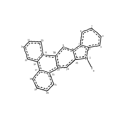 In1c2ccccc2c2cc3c4ccccc4c4ccccc4c3cc21